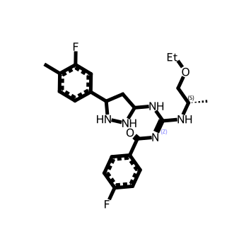 CCOC[C@H](C)N/C(=N/C(=O)c1ccc(F)cc1)NC1CC(c2ccc(C)c(F)c2)NN1